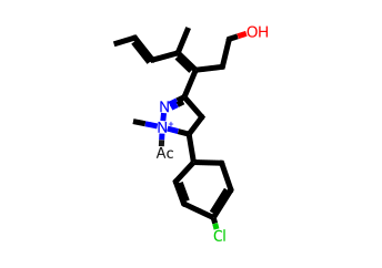 CC=CC(C)=C(CCO)C1=N[N+](C)(C(C)=O)C(C2C=CC(Cl)=CC2)C1